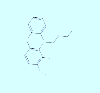 Cc1ccc2c(c1C)N(CCCBr)c1ccccc1S2